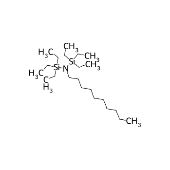 CCCCCCCCCCN([Si](CC)(CC)CC)[Si](CC)(CC)CC